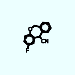 N#CC1c2ccccc2COc2ccc(F)cc21